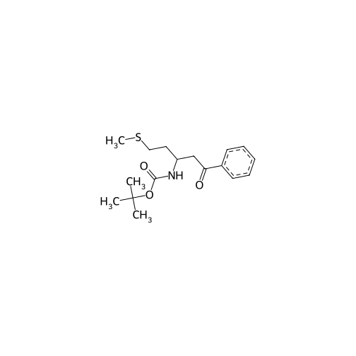 CSCCC(CC(=O)c1ccccc1)NC(=O)OC(C)(C)C